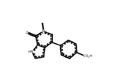 Cn1cc(-c2ccc(C(=O)O)cc2)c2cc[nH]c2c1=O